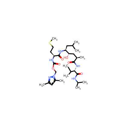 CSCC[C@H](NC(=O)OCn1nc(C)cc1C)C(=O)N[C@@H](CC(C)C)[C@@H](O)C[C@@H](C)C(=O)N[C@H](C(=O)NC(C)C)C(C)C